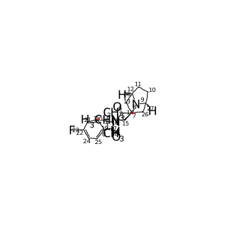 CC(C)(C)NC(=O)CN1[C@@H]2CC[C@H]1C[C@H](CNC(=O)c1ccc(F)cc1)C2